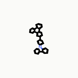 c1ccc2c(c1)c1ccccc1c1cc(-c3ccc(-n4c5ccccc5c5ccccc54)cc3)ccc21